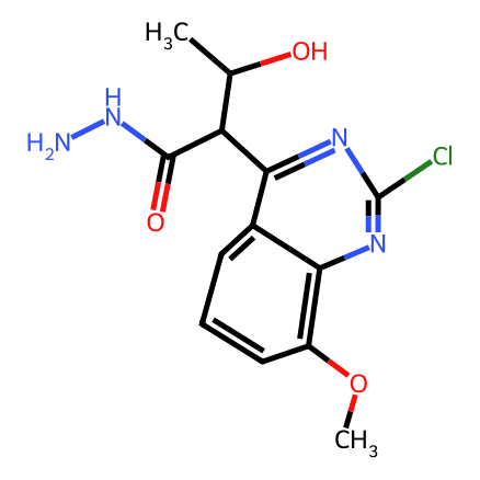 COc1cccc2c(C(C(=O)NN)C(C)O)nc(Cl)nc12